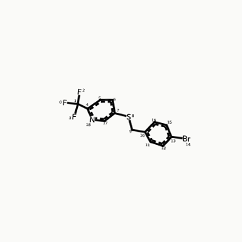 FC(F)(F)c1ccc(SCc2ccc(Br)cc2)cn1